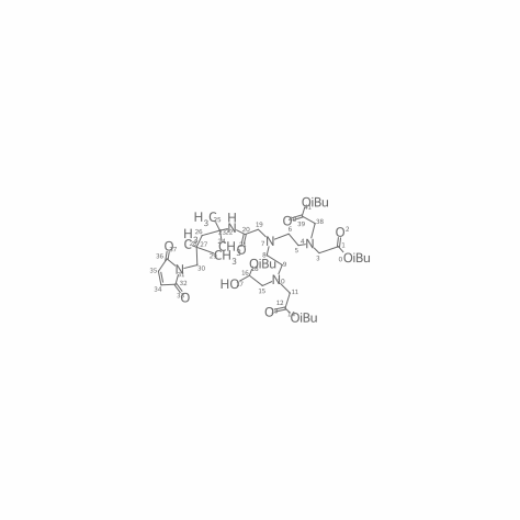 CC(C)COC(=O)CN(CCN(CCN(CC(=O)OCC(C)C)CC(O)OCC(C)C)CC(=O)NC(C)(C)CC(C)(C)CN1C(=O)C=CC1=O)CC(=O)OCC(C)C